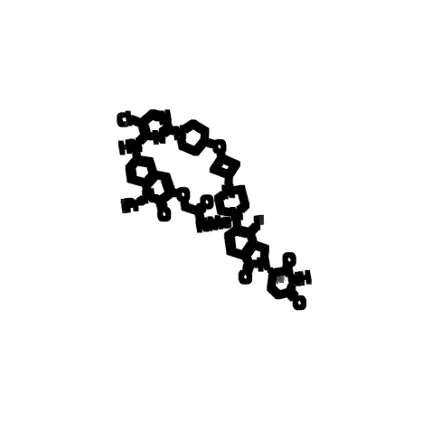 CNC(=O)COc1cc2cc(Nc3nc(N4CCC(OC5CC(N6CCN(c7ccc8c(c7F)CN([C@H]7CCC(=O)NC7=O)C8=O)CC6)C5)CC4)ncc3Cl)ccc2n(C(C)C)c1=O